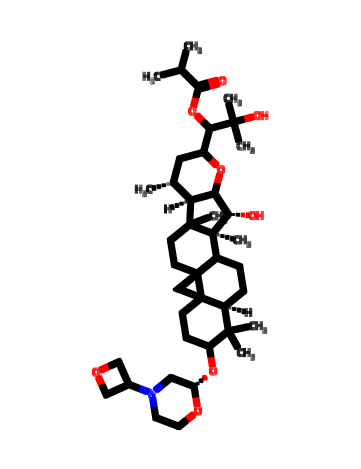 CC(C)C(=O)OC(C1C[C@@H](C)[C@H]2C(O1)[C@H](O)[C@@]1(C)C3CC[C@H]4C(C)(C)C(O[C@H]5CN(C6COC6)CCO5)CCC45CC35CCC21C)C(C)(C)O